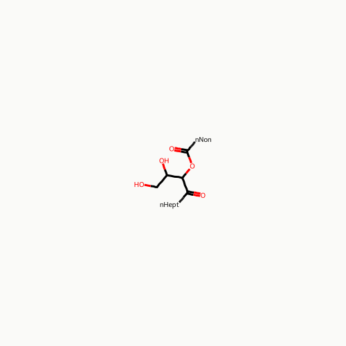 CCCCCCCCCC(=O)OC(C(=O)CCCCCCC)C(O)CO